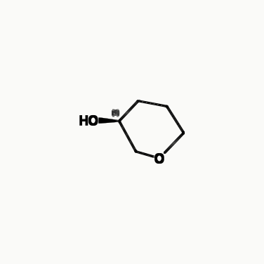 O[C@H]1CCCOC1